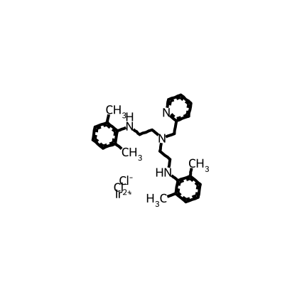 Cc1cccc(C)c1NCCN(CCNc1c(C)cccc1C)Cc1ccccn1.[Cl-].[Cl-].[Ir+2]